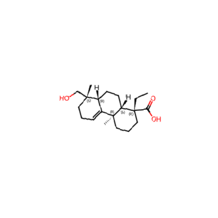 CC[C@@]1(C(=O)O)CCC[C@@]2(C)C3=CCC[C@](C)(CO)[C@@H]3CC[C@H]12